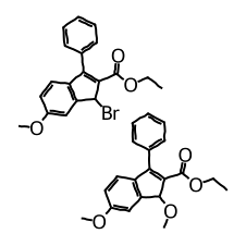 CCOC(=O)C1=C(c2ccccc2)c2ccc(OC)cc2C1Br.CCOC(=O)C1=C(c2ccccc2)c2ccc(OC)cc2C1OC